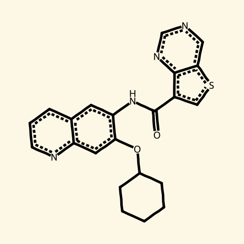 O=C(Nc1cc2cccnc2cc1OC1CCCCC1)c1csc2cncnc12